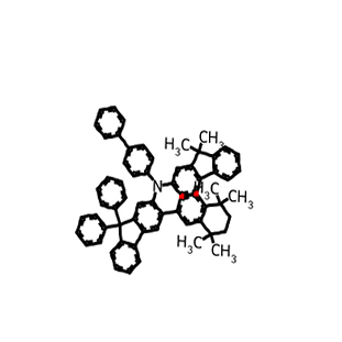 CC1(C)CCC(C)(C)c2cc(-c3cc4c(cc3N(c3ccc(-c5ccccc5)cc3)c3ccc5c(c3)C(C)(C)c3ccccc3-5)C(c3ccccc3)(c3ccccc3)c3ccccc3-4)ccc21